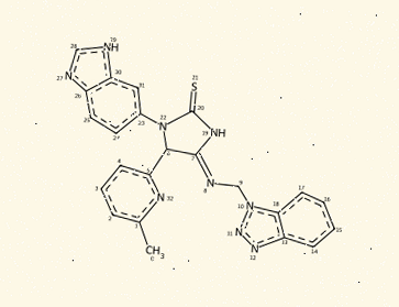 Cc1cccc(C2/C(=N/Cn3nnc4ccccc43)NC(=S)N2c2ccc3nc[nH]c3c2)n1